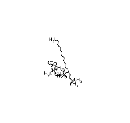 CCCCCCCCCCCCC(CCN(C)C)S(=O)(=O)O.C[N+](C)(C)CC(=O)[O-]